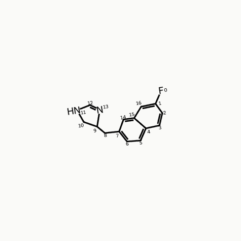 Fc1ccc2ccc(CC3CNC=N3)cc2c1